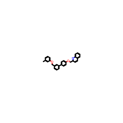 Cc1cccc(OCc2cccc(-c3ccc(OCc4ccc5ccccc5n4)cc3)c2)c1